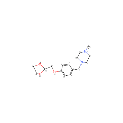 CC(=O)N1CCN(Cc2ccc(OCC3OCCO3)cc2)CC1